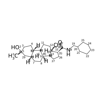 C[C@@]1(O)CC[C@H]2[C@H](CC[C@@H]3[C@@H]2CC[C@]2(C)[C@@H](C(=O)NCC4CCCCC4)CC[C@@H]32)C1